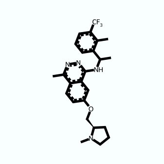 Cc1c(C(C)Nc2nnc(C)c3ccc(OC[C@H]4CCCN4C)cc23)cccc1C(F)(F)F